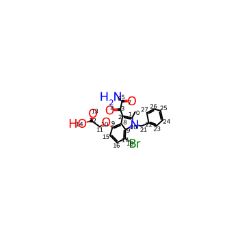 Cc1c(C(=O)C(N)=O)c2c(OCC(=O)O)ccc(Br)c2n1Cc1ccccc1